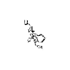 CCOC(C)=O.Cc1ccccc1.ClCCl